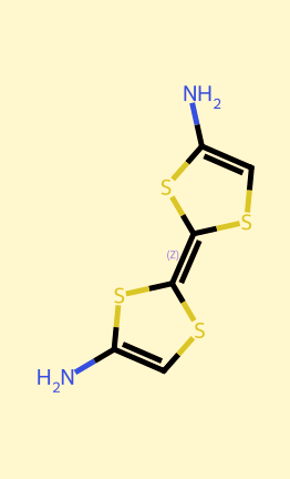 NC1=CS/C(=C2\SC=C(N)S2)S1